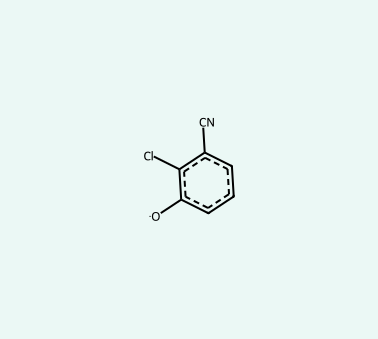 N#Cc1cccc([O])c1Cl